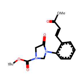 COC(=O)/C=C/c1ccccc1N1CN(C(=O)OC(C)(C)C)CC1=O